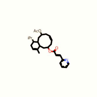 CC(=O)OC1C/C=C\CC(OC(=O)/C=C/c2ccccn2)CC2C(C)=CCC(C(C)C)C2C1